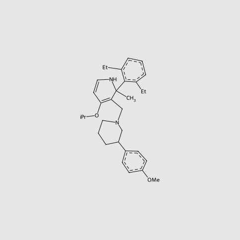 CCc1cccc(CC)c1C1(C)NC=CC(OC(C)C)=C1CN1CCCC(c2ccc(OC)cc2)C1